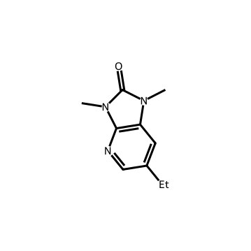 CCc1cnc2c(c1)n(C)c(=O)n2C